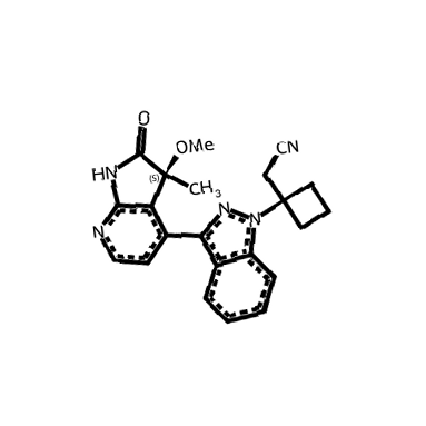 CO[C@]1(C)C(=O)Nc2nccc(-c3nn(C4(CC#N)CCC4)c4ccccc34)c21